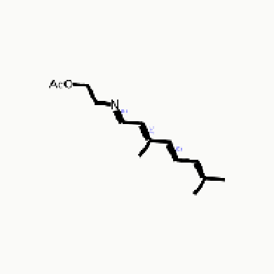 CC(=O)OCC/N=C/C=C(C)/C=C/C=C(C)C